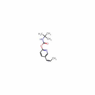 C/C=C\c1ccc(OC(=O)NC(C)(C)C)nc1